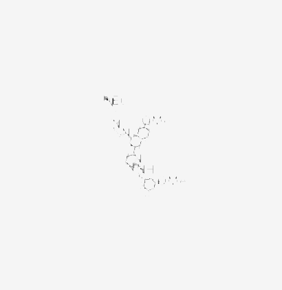 CCN(CC)CCCN1CCN(c2cc(-c3ccnc(NCc4cccc(OC)c4)n3)cc3ccc(OC)cc23)CC1